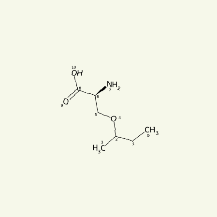 CCC(C)OC[C@H](N)C(=O)O